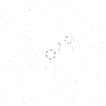 CCCCC(C)Oc1cccc(NC(=O)c2c(C)nn(C)c2Cl)c1C